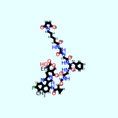 CC[C@@]1(O)C(=O)OCc2c1cc1n(c2=O)Cc2c-1nc1cc(F)c(C)c3c1c2[C@@H](NC(=O)C1(COCNC(=O)CNC(=O)[C@H](Cc2ccccc2)NC(=O)CNC(=O)CNC(=O)CCCCCN2C(=O)C=CC2=O)CC1)CC3